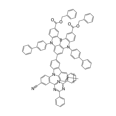 CC(C)(C)c1ccc2c(c1)c1cc(-c3cc4c5c(c3)N(c3ccc(-c6ccccc6)cc3)c3ccc(C(=O)OCc6ccccc6)cc3B5c3cc(C(=O)OCc5ccccc5)ccc3N4c3ccc(-c4ccccc4)cc3)ccc1n2-c1ccc(C#N)cc1-c1nc(-c2ccccc2)nc(-c2ccccc2)n1